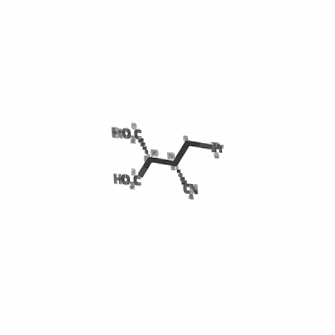 CCOC(=O)[C@@H](C(=O)O)[C@@H](C#N)CC(C)C